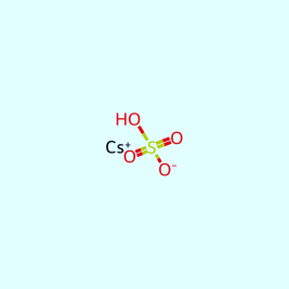 O=S(=O)([O-])O.[Cs+]